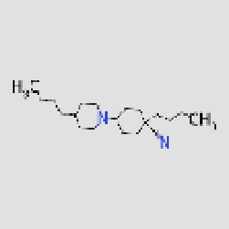 CCCCC1CCN(C2CCC(C#N)(CCCC)CC2)CC1